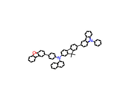 CC1(C)c2cc(-c3ccc4c(c3)c3ccccc3n4-c3ccccc3)ccc2-c2ccc(N(c3ccc(-c4ccc5oc6ccccc6c5c4)cc3)c3cccc4ccccc34)cc21